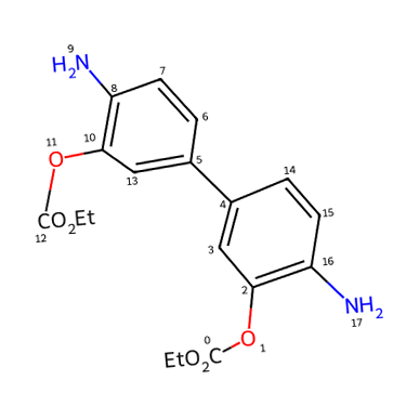 CCOC(=O)Oc1cc(-c2ccc(N)c(OC(=O)OCC)c2)ccc1N